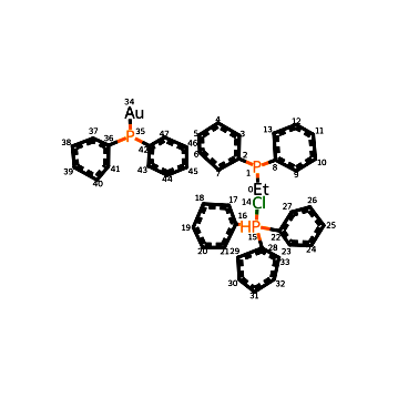 CCP(c1ccccc1)c1ccccc1.Cl[PH](c1ccccc1)(c1ccccc1)c1ccccc1.[Au][P](c1ccccc1)c1ccccc1